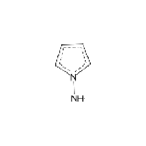 [NH]n1cccc1